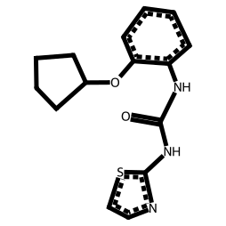 O=C(Nc1nccs1)Nc1ccccc1OC1CCCC1